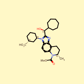 COC(=O)N1c2ccc3c(nc([C@@H](O)C4CCCCCC4)n3[C@@H]3CCC[C@@H](C(=O)O)C3)c2CC[C@@H]1C